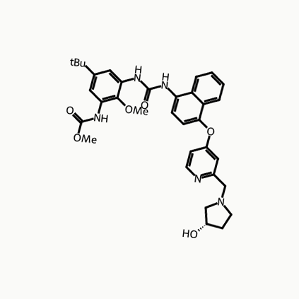 COC(=O)Nc1cc(C(C)(C)C)cc(NC(=O)Nc2ccc(Oc3ccnc(CN4CC[C@H](O)C4)c3)c3ccccc23)c1OC